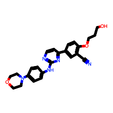 N#Cc1cc(-c2ccnc(Nc3ccc(N4CCOCC4)cc3)n2)ccc1OCCCO